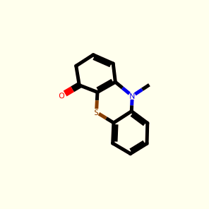 CN1C2=C(Sc3ccccc31)C(=O)CC=C2